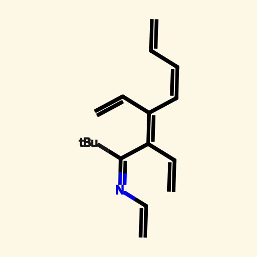 C=C\C=C/C(C=C)=C(C=C)/C(=N\C=C)C(C)(C)C